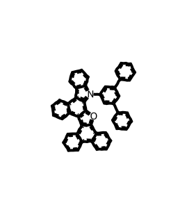 c1ccc(-c2cc(-c3ccccc3)cc(-n3c4ccccc4c4c5ccccc5c5c(oc6c7ccccc7c7ccccc7c65)c43)c2)cc1